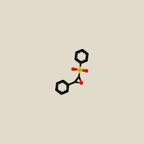 O=S(=O)(c1ccccc1)C1OC1c1ccccc1